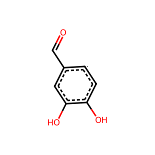 O=Cc1[c]cc(O)c(O)c1